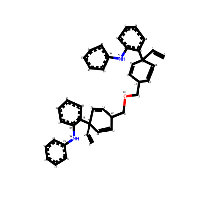 C=CC1(c2ccccc2Nc2ccccc2)C=CC(COCC2C=CC(C=C)(c3ccccc3Nc3ccccc3)C=C2)C=C1